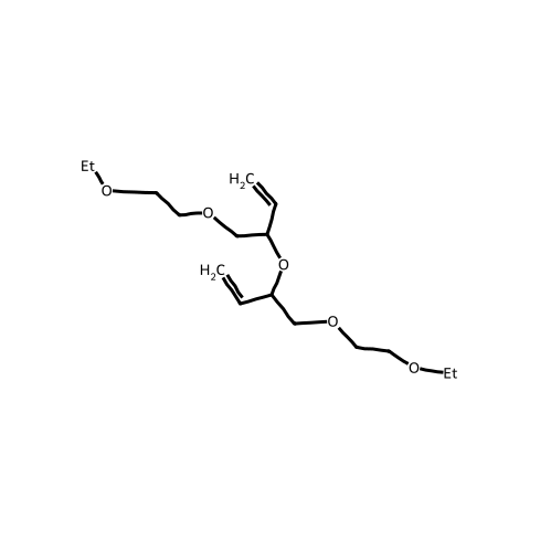 C=CC(COCCOCC)OC(C=C)COCCOCC